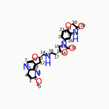 COc1ccc2ncc3c(c2n1)C[C@H](CNCC[C@@H]1CN(c2ccc4c(c2)NC(=O)CO4)C(=O)O1)O3